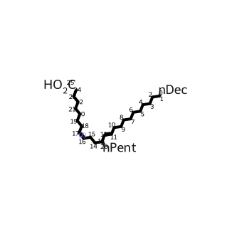 CCCCCCCCCCCCCCCCCCCCC=CC(CC/C=C\CCCCCCCC(=O)O)CCCCC